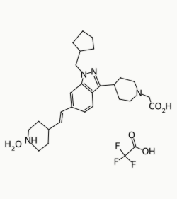 O.O=C(O)C(F)(F)F.O=C(O)CN1CCC(c2nn(CC3CCCC3)c3cc(/C=C/C4CCNCC4)ccc23)CC1